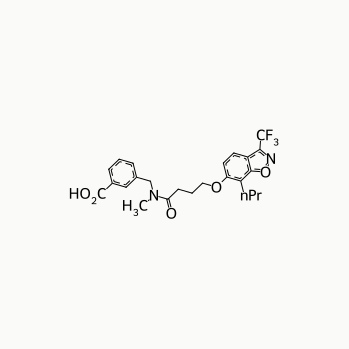 CCCc1c(OCCCC(=O)N(C)Cc2cccc(C(=O)O)c2)ccc2c(C(F)(F)F)noc12